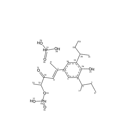 CCC(C)c1cc(C(C)=CC(=O)C(C)O[PH](=O)O)cc(C(C)CC)c1O.O=[PH](O)O